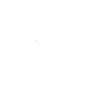 CC1CN(CCOc2ccccc2)CC(C)O1